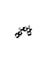 CC(Nc1ncc(C(=O)N2CCC3(CCOCC3)C2)cn1)c1cnccn1